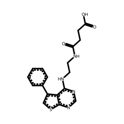 O=C(O)CCC(=O)NCCNc1ncnc2scc(-c3ccccc3)c12